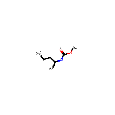 CCCCOC(=O)NC(C)CCC=O